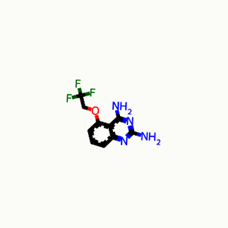 Nc1nc(N)c2c(OCC(F)(F)F)cccc2n1